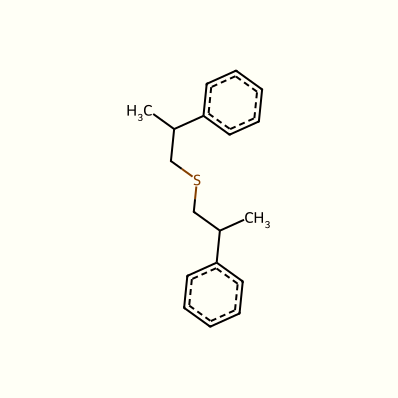 CC(CSCC(C)c1ccccc1)c1ccccc1